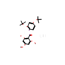 COc1cc(OC)c(C(=O)Pc2ccc(OC(C)(C)C)cc2OC(C)(C)C)c(OC)c1.[LiH]